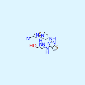 N#CC1CN(S23CCC4CC(Nc5nc(Nc6cc(CO)[nH]n6)c6ccsc6n5)CC(C2)N43)C1